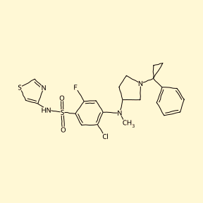 CN(c1cc(F)c(S(=O)(=O)Nc2cscn2)cc1Cl)C1CCN(C2(c3ccccc3)CC2)C1